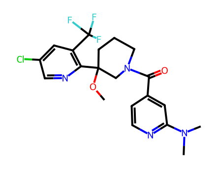 COC1(c2ncc(Cl)cc2C(F)(F)F)CCCN(C(=O)c2ccnc(N(C)C)c2)C1